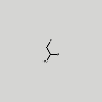 O[C](F)CF